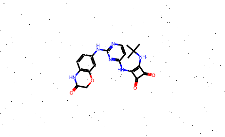 CC(C)(C)Nc1c(Nc2ccnc(Nc3ccc4c(c3)OCC(=O)N4)n2)c(=O)c1=O